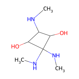 CNC1C(O)C(NC)(NC)C1O